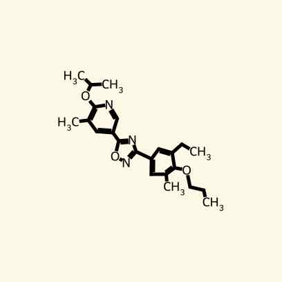 CCCOc1c(C)cc(-c2noc(-c3cnc(OC(C)C)c(C)c3)n2)cc1CC